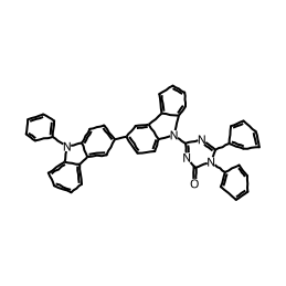 O=c1nc(-n2c3ccccc3c3cc(-c4ccc5c(c4)c4ccccc4n5-c4ccccc4)ccc32)nc(-c2ccccc2)n1-c1ccccc1